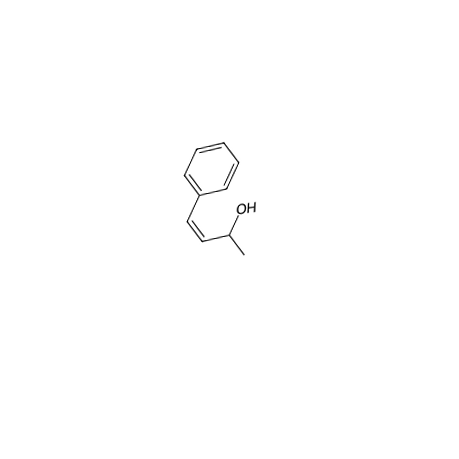 CC(O)/C=C\c1ccccc1